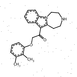 Cc1cccc(OCC(=O)c2c3n(c4ccccc24)CCNCC3)c1C